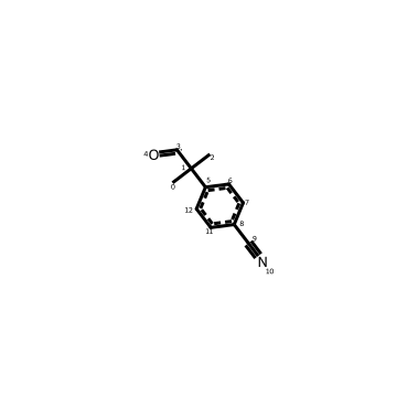 CC(C)([C]=O)c1ccc(C#N)cc1